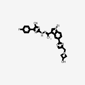 CCn1cc(/C(=N/Nc2nc(-c3ccc(F)cc3)c(C#N)s2)C(F)(F)F)c2cc(-c3nc(CN4CC(O)C4)cs3)ccc21